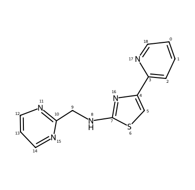 c1ccc(-c2csc(NCc3ncccn3)n2)nc1